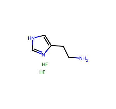 F.F.NCCc1c[nH]cn1